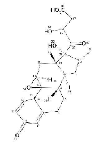 C[C@@H]1C[C@H]2[C@@H]3CCC4=CC(=O)C=C[C@]4(C)[C@@]34O[C@H]4C[C@]2(C)[C@@]1(O)C(=O)C(O)CC(=O)O